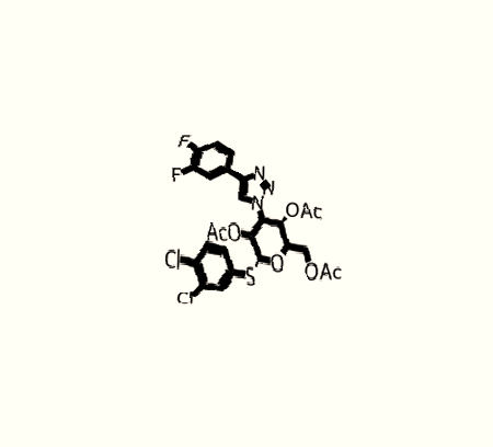 CC(=O)OCC1O[C@H](Sc2ccc(Cl)c(Cl)c2)C(OC(C)=O)C(n2cc(-c3ccc(F)c(F)c3)nn2)[C@H]1OC(C)=O